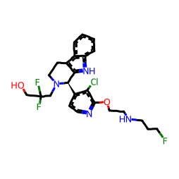 OCC(F)(F)CN1CCc2c([nH]c3ccccc23)[C@H]1c1ccnc(OCCNCCCF)c1Cl